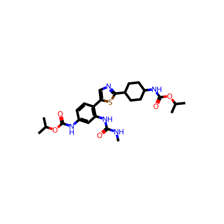 CNC(=O)Nc1cc(NC(=O)OC(C)C)ccc1-c1cnc(C2CCC(NC(=O)OC(C)C)CC2)s1